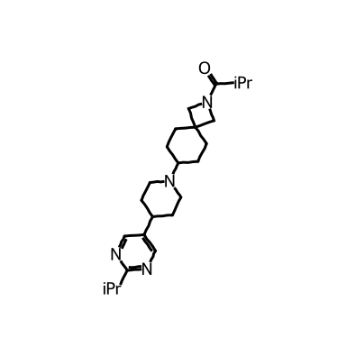 CC(C)C(=O)N1CC2(CCC(N3CCC(c4cnc(C(C)C)nc4)CC3)CC2)C1